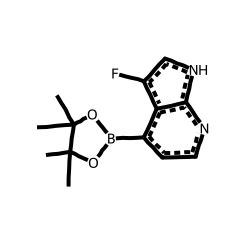 CC1(C)OB(c2ccnc3[nH]cc(F)c23)OC1(C)C